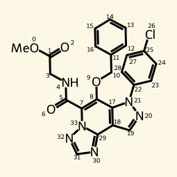 COC(=O)CNC(=O)c1c(OCc2ccccc2)c2c(cnn2-c2ccc(Cl)cc2)c2ncnn12